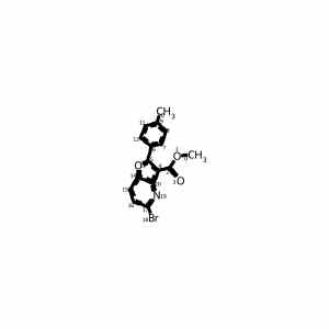 COC(=O)c1c(-c2ccc(C)cc2)oc2ccc(Br)nc12